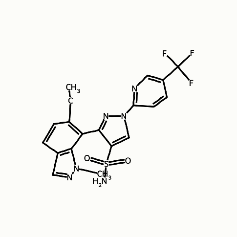 CCc1ccc2cnn(C)c2c1-c1nn(-c2ccc(C(F)(F)F)cn2)cc1S(N)(=O)=O